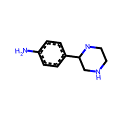 Nc1ccc(C2CNCC[N]2)cc1